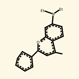 CCN(CC)c1ccc2c(C)cc(-c3ccccc3)[o+]c2c1